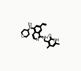 C=Cc1cc(N(CC)C2CCOCC2)c2ccnc(NCc3c(C)cc(C)[nH]c3=O)c2c1